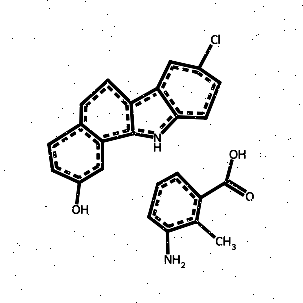 Cc1c(N)cccc1C(=O)O.Oc1ccc2ccc3c4cc(Cl)ccc4[nH]c3c2c1